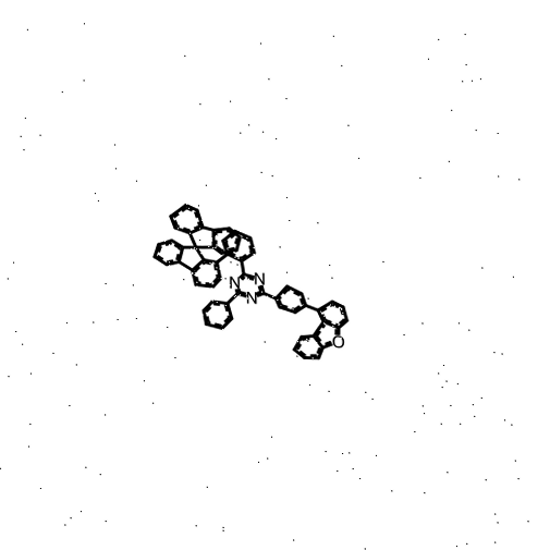 c1ccc(-c2nc(-c3ccc(-c4cccc5oc6ccccc6c45)cc3)nc(-c3ccccc3-c3cccc4c3C3(c5ccccc5-c5ccccc53)c3ccccc3-4)n2)cc1